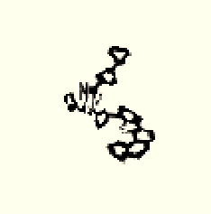 c1ccc(-c2ccc(-c3nc(-c4ccccc4)nc(-c4cccc(-c5cccc6c5sc5c6ccc6ccc7ccccc7c65)c4)n3)cc2)cc1